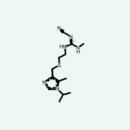 CN/C(=N/C#N)NCCSCc1ncn(C(C)C)c1C